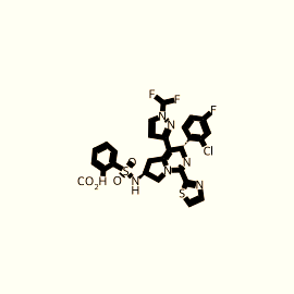 O=C(O)c1ccccc1S(=O)(=O)N[C@H]1CC2=C(c3ccn(C(F)F)n3)[C@H](c3ccc(F)cc3Cl)N=C(c3nccs3)N2C1